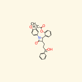 COc1ccc(N2C(=O)C(CC[C@@H](O)c3ccccc3)C2c2ccccc2OC(C)=O)cc1